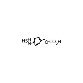 O=C(O)OCc1ccc(NS)cc1